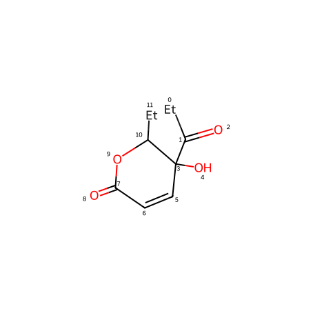 CCC(=O)C1(O)C=CC(=O)OC1CC